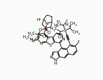 CSc1nc(N2C[C@H]3CC[C@@H](C2)N3C(=O)OC(C)(C)C)c2c(n1)sc1c(-c3c4cn[nH]c4cc4ccc(F)c(C#C[Si](C(C)C)(C(C)C)C(C)C)c34)nccc12